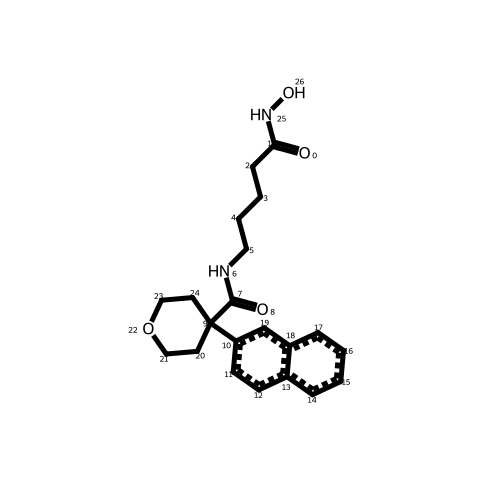 O=C(CCCCNC(=O)C1(c2ccc3ccccc3c2)CCOCC1)NO